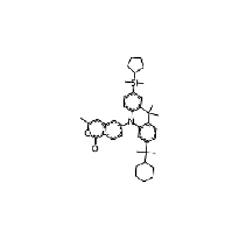 Cc1cc2cc(N3c4cc(C(C)(C)C5CCCCC5)ccc4C(C)(C)c4cc([Si](C)(C)C5CCCC5)ccc43)ccc2c(=O)o1